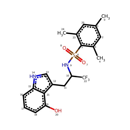 Cc1cc(C)c(S(=O)(=O)NC(Cc2c[nH]c3cccc(O)c23)C(F)(F)F)c(C)c1